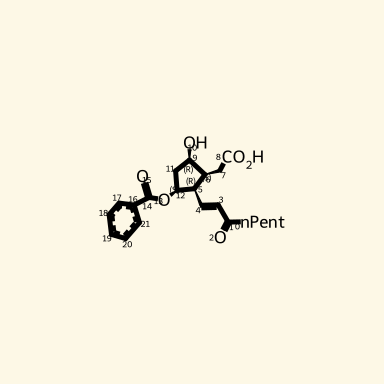 CCCCCC(=O)C=C[C@@H]1[C@H](CC(=O)O)[C@H](O)C[C@@H]1OC(=O)c1ccccc1